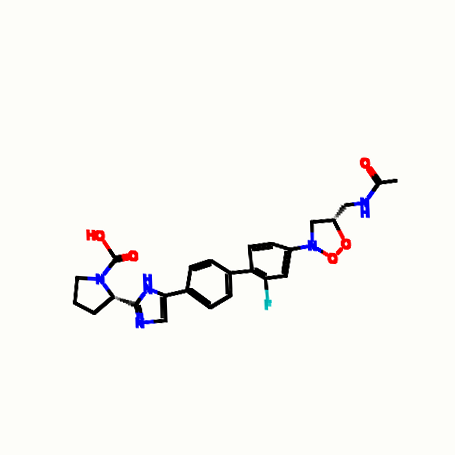 CC(=O)NC[C@H]1CN(c2ccc(-c3ccc(-c4cnc([C@@H]5CCCN5C(=O)O)[nH]4)cc3)c(F)c2)OO1